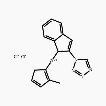 CC1=[C]([Zr+2][CH]2C(n3cnnn3)=Cc3ccccc32)CC=C1.[Cl-].[Cl-]